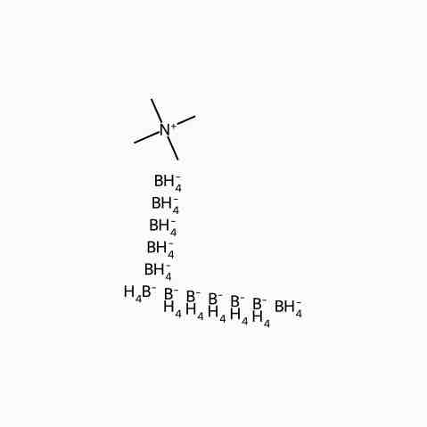 C[N+](C)(C)C.[BH4-].[BH4-].[BH4-].[BH4-].[BH4-].[BH4-].[BH4-].[BH4-].[BH4-].[BH4-].[BH4-].[BH4-]